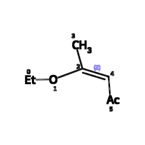 CCO/C(C)=C\C(C)=O